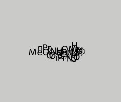 CCCC(NC(=O)c1csc([C@@H](C[C@H](C(C)C)N(C)C(=O)[C@@H](NC(=O)[C@H]2CCCCN2C)[C@@H](C)CC)OC)n1)C(=O)OC